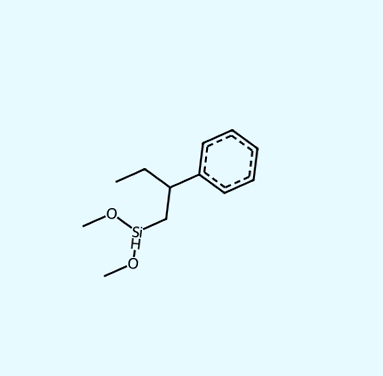 CCC(C[SiH](OC)OC)c1ccccc1